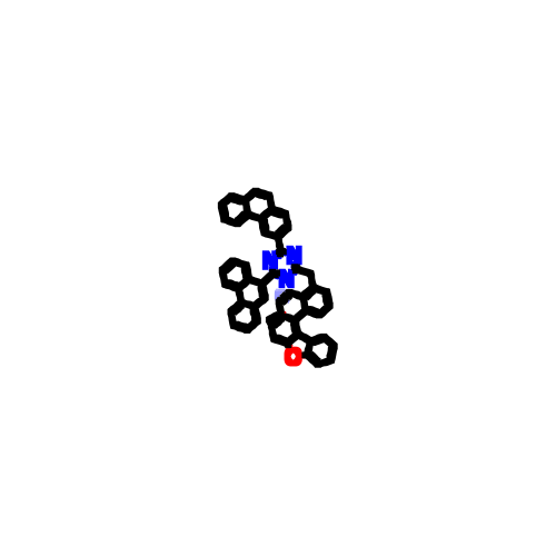 C=C/C=C\c1c(Cc2nc(-c3ccc4ccc5ccccc5c4c3)nc(-c3cc4ccccc4c4ccccc34)n2)cccc1-c1cccc2oc3ccccc3c12